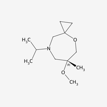 CO[C@@]1(C)COC2(CC2)CN(C(C)C)C1